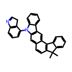 CC1(C)c2ccccc2-c2c1ccc1cc3c(cc21)c1ccccc1n3-c1cccc2c1CC=N2